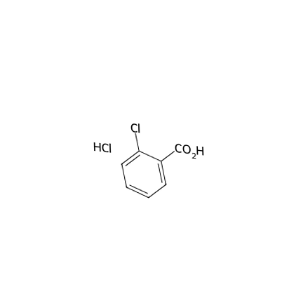 Cl.O=C(O)c1ccccc1Cl